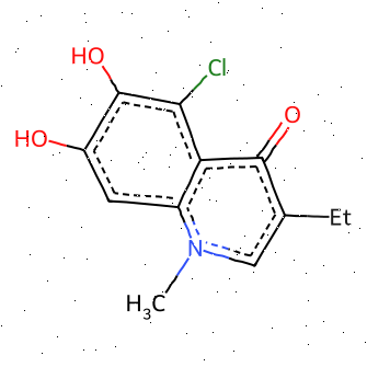 CCc1cn(C)c2cc(O)c(O)c(Cl)c2c1=O